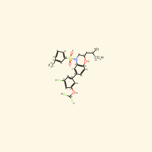 CCC(CC1CN(S(=O)(=O)c2cccc(C(F)(F)F)c2)c2cc(-c3cc(F)cc(OC(F)F)c3)ccc2O1)C(=O)O